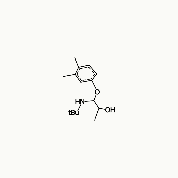 Cc1ccc(OC(NC(C)(C)C)C(C)O)cc1C